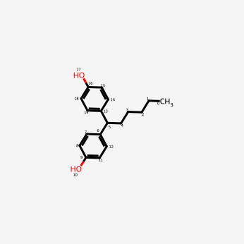 CCCCCC(c1ccc(O)cc1)c1ccc(O)cc1